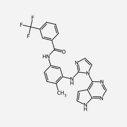 Cc1ccc(NC(=O)c2cccc(C(F)(F)F)c2)cc1Nc1nccn1-c1ncnc2[nH]ccc12